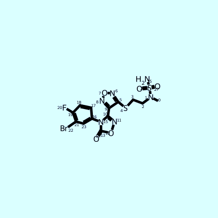 CN(CCSc1nonc1-c1noc(=O)n1-c1ccc(F)c(Br)c1)S(N)(=O)=O